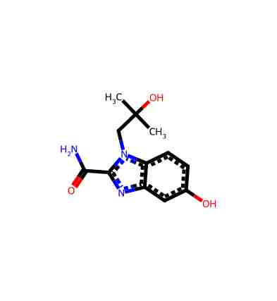 CC(C)(O)Cn1c(C(N)=O)nc2cc(O)ccc21